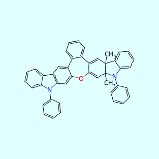 CC12C=C3C(=CC1(C)N(c1ccccc1)c1ccccc12)Oc1cc2c(cc1-c1ccccc13)c1ccccc1n2-c1ccccc1